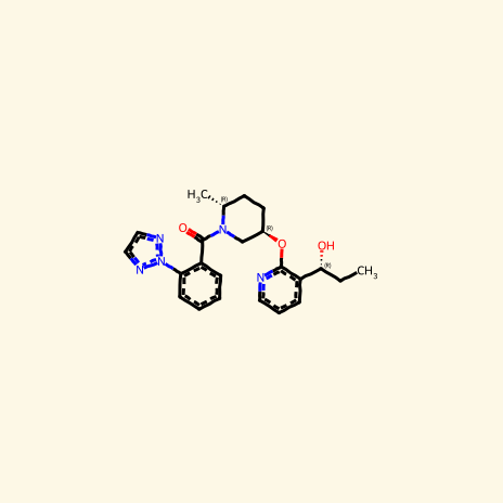 CC[C@@H](O)c1cccnc1O[C@@H]1CC[C@@H](C)N(C(=O)c2ccccc2-n2nccn2)C1